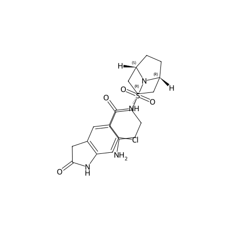 NC1CCC(S(=O)(=O)N2[C@@H]3CC[C@H]2C[C@@H](NC(=O)c2cc4c(cc2Cl)NC(=O)C4)C3)CC1